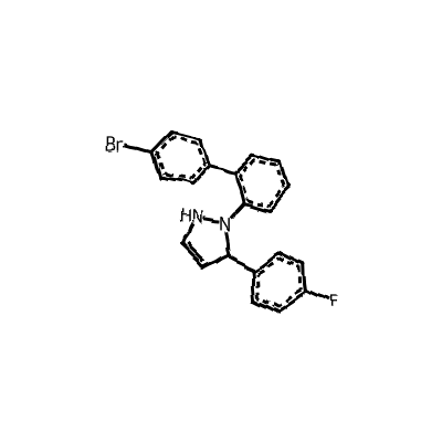 Fc1ccc(C2C=CNN2c2ccccc2-c2ccc(Br)cc2)cc1